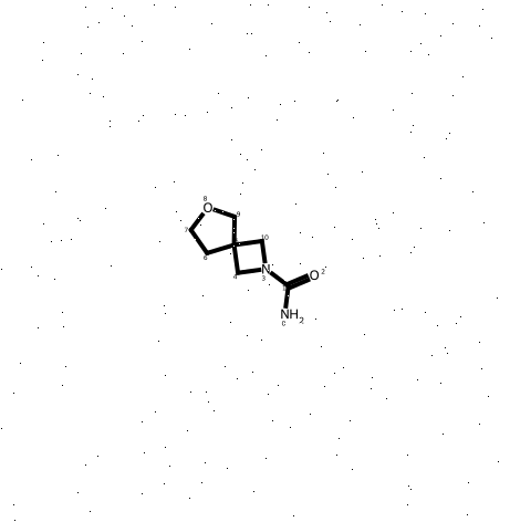 NC(=O)N1CC2(CCOC2)C1